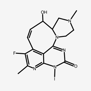 Cc1nc2c3c(nc(=O)n2I)N2CCN(C)CC2C(O)/C=C\c3c1F